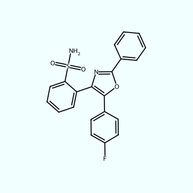 NS(=O)(=O)c1ccccc1-c1nc(-c2ccccc2)oc1-c1ccc(F)cc1